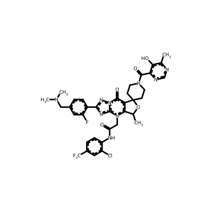 Cc1ncnc(C(=O)N2CCC3(CC2)OC(C)c2c3c(=O)n3nc(-c4ccc(CN(C)C)cc4F)nc3n2CC(=O)Nc2ccc(C(F)(F)F)cc2Cl)c1O